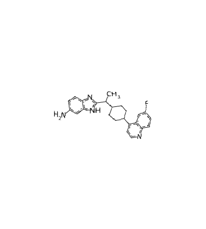 CC(c1nc2ccc(N)cc2[nH]1)C1CCC(c2ccnc3ccc(F)cc23)CC1